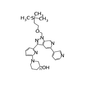 C[Si](C)(C)CCOCn1nc(-c2cccc(N3CCC[C@H](O)C3)n2)c2cc(-c3cccnc3)ncc21